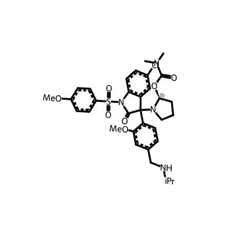 COc1ccc(S(=O)(=O)N2C(=O)C(c3ccc(CNC(C)C)cc3OC)(N3CCC[C@@H]3OC(=O)N(C)C)c3cc(Cl)ccc32)cc1